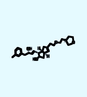 Cc1cccc(C[C@H](O)/C=C/[C@@H]2[C@H]3CC(CCOCCN4CCOCC4)=C[C@H]3C[C@H]2O)c1